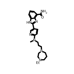 CCN1CCCN(CCCN(C)c2ccc(-c3nc4c(C(N)=O)cccc4[nH]3)cn2)CC1